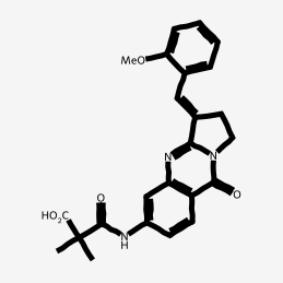 COc1ccccc1C=C1CCn2c1nc1cc(NC(=O)C(C)(C)C(=O)O)ccc1c2=O